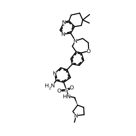 CN1CC[C@H](CNS(=O)(=O)c2cc(-c3ccc4c(c3)CN(c3ncnc5c3CC(C)(C)CC5)CCO4)cnc2N)C1